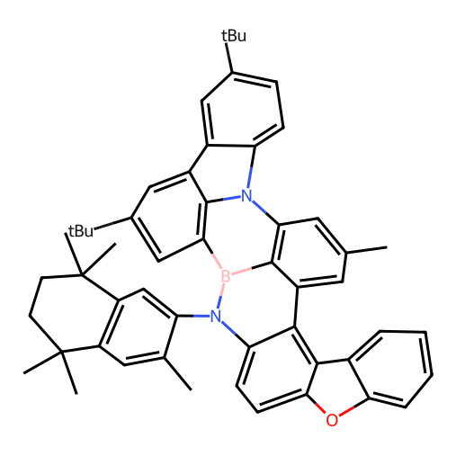 Cc1cc2c3c(c1)-n1c4ccc(C(C)(C)C)cc4c4cc(C(C)(C)C)cc(c41)B3N(c1cc3c(cc1C)C(C)(C)CCC3(C)C)c1ccc3oc4ccccc4c3c1-2